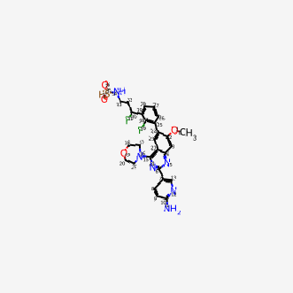 COc1cc2nc(-c3ccc(N)nc3)nc(N3CCOCC3)c2cc1-c1cccc(C(F)CCN[SH](=O)=O)c1F